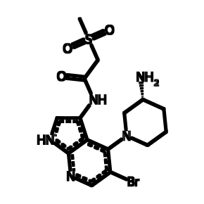 CS(=O)(=O)CC(=O)Nc1c[nH]c2ncc(Br)c(N3CCC[C@@H](N)C3)c12